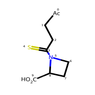 CC(=O)CCC(=S)N1CCC1C(=O)O